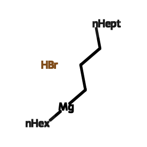 Br.CCCCCCCCC[CH2][Mg][CH2]CCCCC